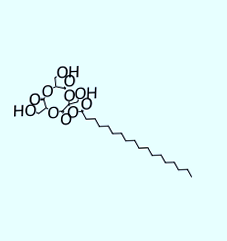 CCCCCCCCCCCCCCCCCC(=O)OC1(CO)OC(=O)C(CO)OC(=O)C(CO)OC1=O